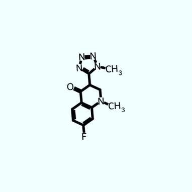 CN1CC(c2nnnn2C)C(=O)c2ccc(F)cc21